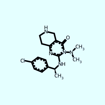 C[C@H](Nc1nc2c(c(=O)n1N(C)C)CNCC2)c1ccc(Cl)cc1